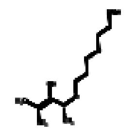 CNCCOCCCO[C@H](C)C(O)=C(C)C